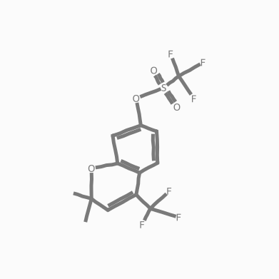 CC1(C)C=C(C(F)(F)F)c2ccc(OS(=O)(=O)C(F)(F)F)cc2O1